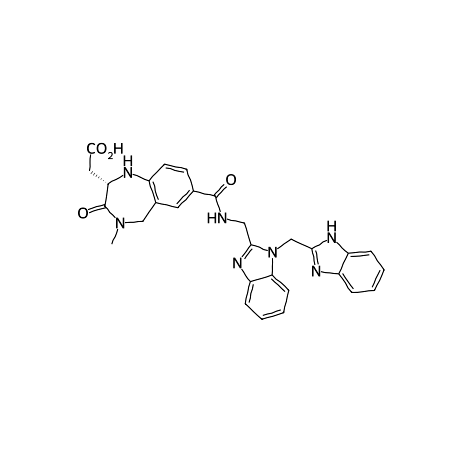 CN1Cc2cc(C(=O)NCc3nc4ccccc4n3Cc3nc4ccccc4[nH]3)ccc2N[C@@H](CC(=O)O)C1=O